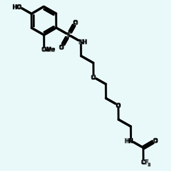 COc1cc(O)ccc1S(=O)(=O)NCCOCCOCCNC(=O)C(F)(F)F